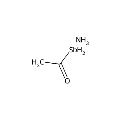 C[C](=O)[SbH2].N